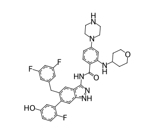 O=C(Nc1n[nH]c2cc(-c3cc(O)ccc3F)c(Cc3cc(F)cc(F)c3)cc12)c1ccc(N2CCNCC2)cc1NC1CCOCC1